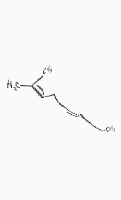 CCC=CCC=C(C)C